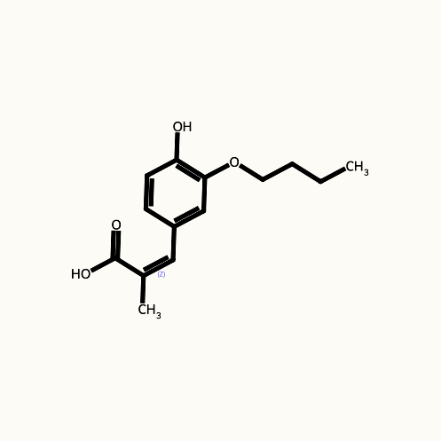 CCCCOc1cc(/C=C(/C)C(=O)O)ccc1O